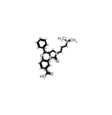 CN(C)CCCN1CC2C(c3ccccc3)Oc3ccc(C(=O)O)cc3N2C1=O